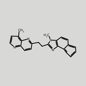 Cc1ccnc2ccc(CCc3nc4c5ccccc5ccc4n3C)nc12